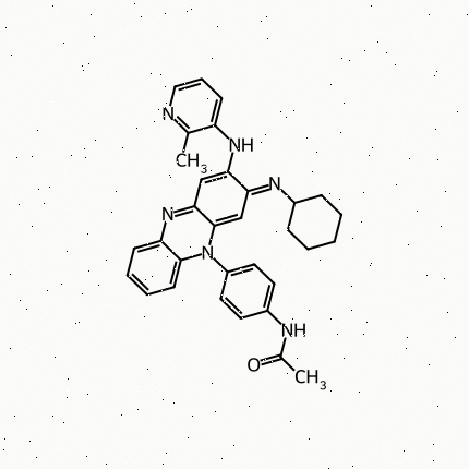 CC(=O)Nc1ccc(-n2c3c/c(=N\C4CCCCC4)c(Nc4cccnc4C)cc-3nc3ccccc32)cc1